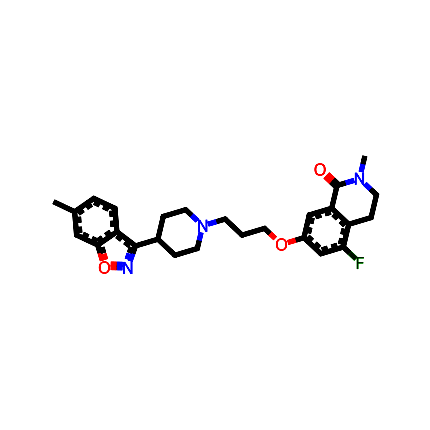 Cc1ccc2c(C3CCN(CCCOc4cc(F)c5c(c4)C(=O)N(C)CC5)CC3)noc2c1